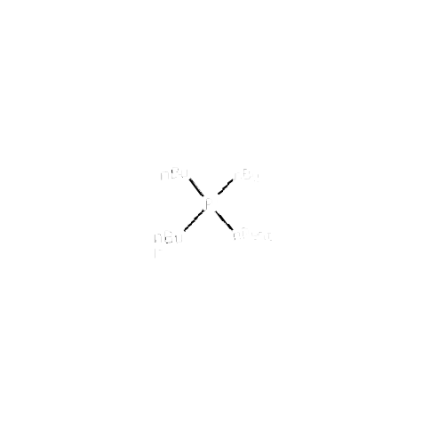 CCCCC[P+](CCCC)(CCCC)CCCC.[I-]